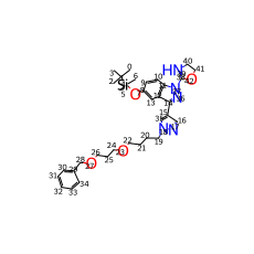 CC(C)(C)[Si](C)(C)Oc1ccc2c(c1)c(-c1cnn(CCCCOCCCOCc3ccccc3)c1)nn2C1NCCO1